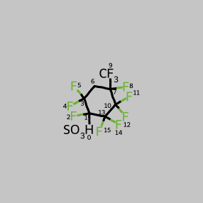 O=S(=O)(O)C1(F)C(F)(F)CC(F)(C(F)(F)F)C(F)(F)C1(F)F